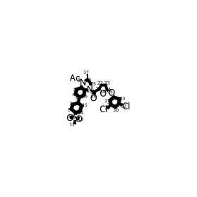 CC(=O)N1c2ccc(-c3ccc(S(C)(=O)=O)cc3)cc2N(C(=O)C2CCC(Oc3cc(Cl)cc(Cl)c3)O2)C[C@@H]1C